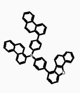 c1ccc2c(c1)ccc1c(-c3ccc(N(c4ccc(-c5cccc6oc7c8ccccc8ccc7c56)cc4)c4cccc5c4ccc4ccccc45)cc3)cccc12